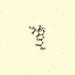 C=CC(CC(=O)CC(=O)O)C(=O)C(=C)C(C)=O